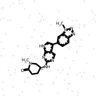 CN1C[C@@H](Nc2ncc3c(-c4ccc5nnn(C)c5c4)c[nH]c3n2)CCC1=O